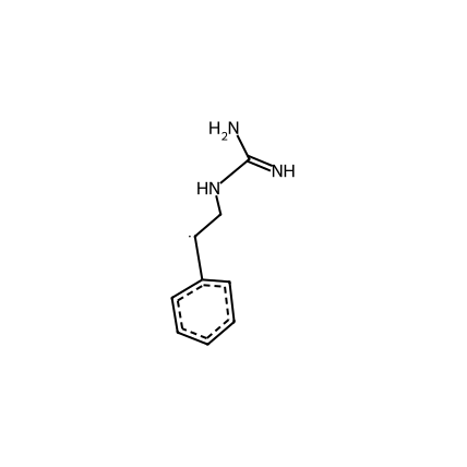 N=C(N)NC[CH]c1ccccc1